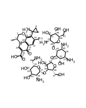 C[C@H]1COc2c(C3(N)CC3)c(F)cc3c(=O)c(C(=O)O)cn1c23.NC[C@@H]1O[C@H](O[C@H]2[C@@H](O)[C@H](O[C@@H]3[C@@H](O)[C@H](N)C[C@H](N)[C@H]3O[C@H]3O[C@H](CO)[C@@H](O)[C@H](O)[C@H]3N)O[C@@H]2CO)[C@H](N)[C@@H](O)[C@@H]1O